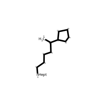 [CH2]CCCCCCCCCCC(C)C1CCCC1